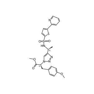 COC(=O)[C@H](Cc1ccc(OC)cc1)n1cc([C@H](C)NS(=O)(=O)c2ccc(-c3ccccn3)s2)nn1